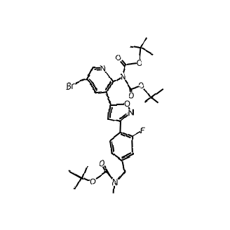 CN(Cc1ccc(-c2cc(-c3cc(Br)cnc3N(C(=O)OC(C)(C)C)C(=O)OC(C)(C)C)on2)c(F)c1)C(=O)OC(C)(C)C